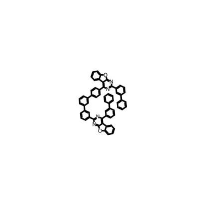 c1ccc(-c2cccc(-c3nc(-c4ccc(-c5cccc(-c6cccc(-c7nc(-c8cccc(-c9ccccc9)c8)c8c(n7)oc7ccccc78)c6)c5)cc4)c4c(n3)oc3ccccc34)c2)cc1